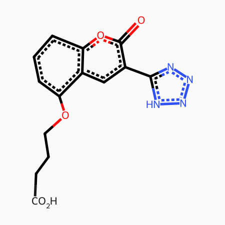 O=C(O)CCCOc1cccc2oc(=O)c(-c3nnn[nH]3)cc12